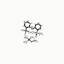 CC(C)(O)CN.CP(C)(=O)c1ccccc1Nc1ncncc1C(F)(F)F